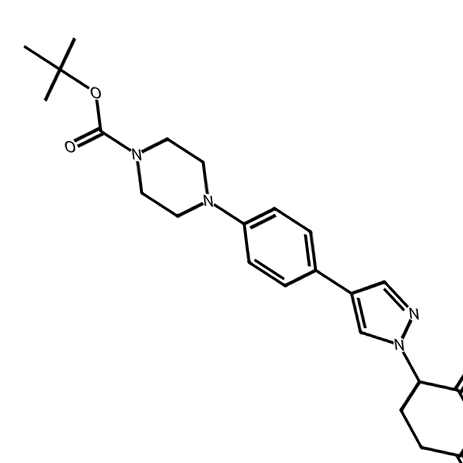 CC(C)(C)OC(=O)N1CCN(c2ccc(-c3cnn(C4CCC(=O)NC4=O)c3)cc2)CC1